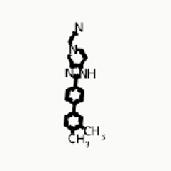 Cc1ccc(-c2ccc(-c3nc4c([nH]3)C=CN(CC#N)C4)cc2)cc1C